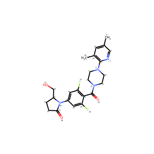 Cc1cnc(N2CCN(C(=O)c3c(F)cc(N4C(=O)CCC4CO)cc3F)CC2)c(C)c1